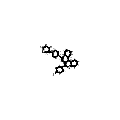 Fc1ccc(-c2nc3ccccc3c3c2cc(-c2ccc(-c4cccnc4)cc2)c2ccccc23)cc1